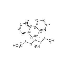 O=C(O)CCCCCO.[Pd].c1cnc2c(c1)ccc1ncccc12